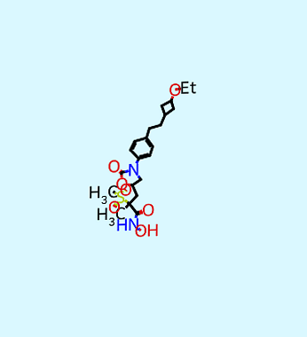 CCOC1CC(CCc2ccc(N3CC(CC(C)(C(=O)NO)S(C)(=O)=O)OC3=O)cc2)C1